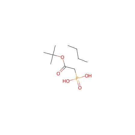 CC(C)(C)OC(=O)CP(=O)(O)O.CCCC